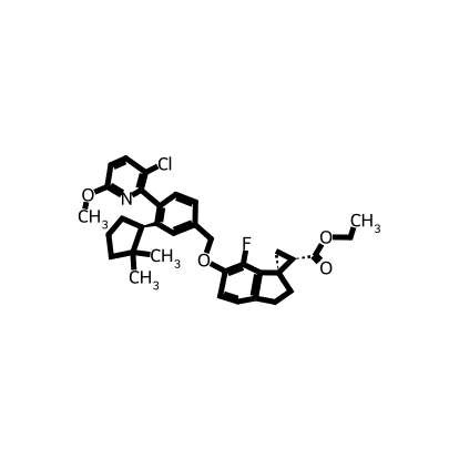 CCOC(=O)[C@H]1C[C@@]12CCc1ccc(OCc3ccc(-c4nc(OC)ccc4Cl)c([C@@H]4CCCC4(C)C)c3)c(F)c12